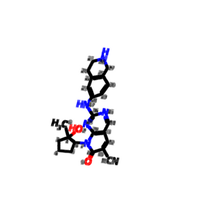 CC1(O)CCCC1n1c(=O)c(C#N)cc2cnc(Nc3ccc4c(c3)CCNC4)nc21